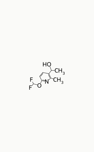 Cc1nc(OC(F)F)ccc1C(C)O